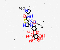 Cc1cc(Oc2c(O)c(O)c(O)c(O)c2O)ccc1N1C(=O)Nc2c(C(=O)N[C@@H]3CCCN(C#N)C3)sc3nccc1c23